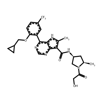 Cc1[nH]c2c(-c3cc(C(F)(F)F)ccc3OCC3CC3)ncnc2c1C(=O)N[C@H]1C[C@@H](C)N(C(=O)CO)C1